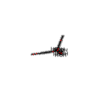 CCCCCCCCCCCCCCCCCCCCCCCCCC(=O)NC(COC1OC(CO)C(O)C(O)C1O)C(O)[C@H](O)CCCCCCCCCCCCCC